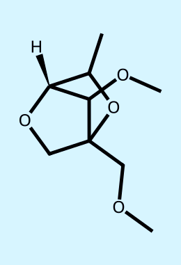 COCC12CO[C@H](C(C)O1)C2OC